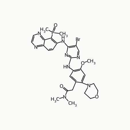 COc1cc(N2CCOCC2)c(CC(=O)N(C)C)cc1Nc1ncc(Br)c(Nc2ccc3nccnc3c2P(C)(C)=O)n1